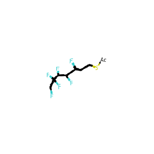 CC(=O)SCCC(F)C(F)C(F)C(F)(F)CF